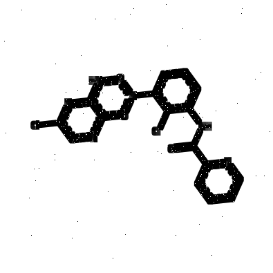 O=C(Nc1cccc(-n2o[nH]c3nc(Cl)cnc3o2)c1Cl)c1ccccn1